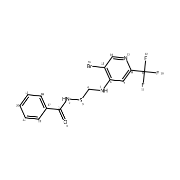 O=C(NSCNc1cc(C(F)(F)F)ncc1Br)c1ccccc1